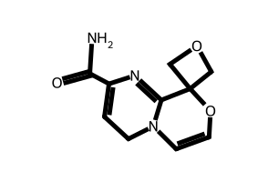 NC(=O)C1=CCN2C=COC3(COC3)C2=N1